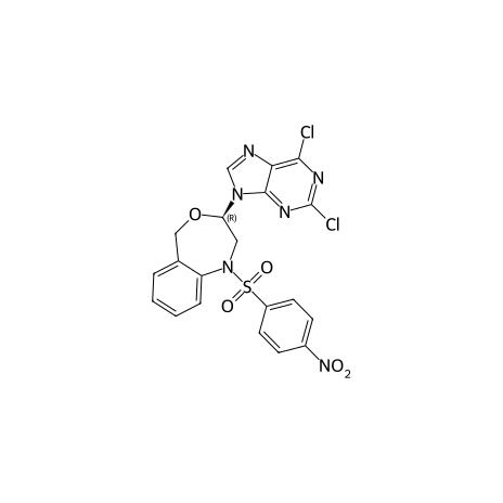 O=[N+]([O-])c1ccc(S(=O)(=O)N2C[C@H](n3cnc4c(Cl)nc(Cl)nc43)OCc3ccccc32)cc1